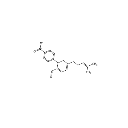 CC(C)=CCCC1=CC=C(C=O)C(c2ccc([N+](=O)[O-])cc2)C1